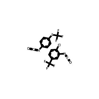 O=C=Nc1cc(C(F)(F)F)ccc1Cl.O=C=Nc1ccc(SC(F)(F)F)cc1